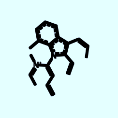 C=C/C=C(n1c(C=C)c(/C=C\C)c2cccc(C)c21)\[N+](C)=C/C